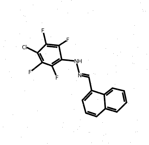 Fc1c(F)c(NN=Cc2cccc3ccccc23)c(F)c(F)c1Cl